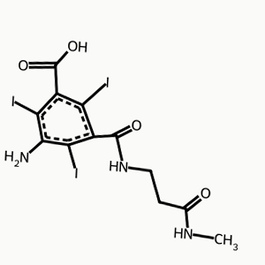 CNC(=O)CCNC(=O)c1c(I)c(N)c(I)c(C(=O)O)c1I